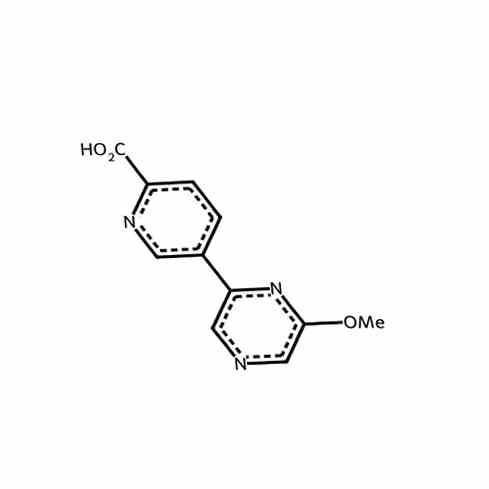 COc1cncc(-c2ccc(C(=O)O)nc2)n1